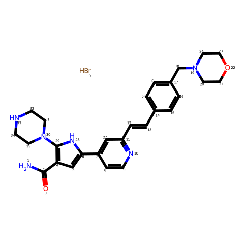 Br.NC(=O)c1cc(-c2ccnc(C=Cc3ccc(CN4CCOCC4)cc3)c2)[nH]c1N1CCNCC1